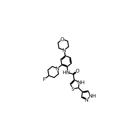 O=C(Nc1ccc(N2CCOCC2)cc1N1CCC(F)CC1)C1=CSC(c2cn[nH]c2)N1